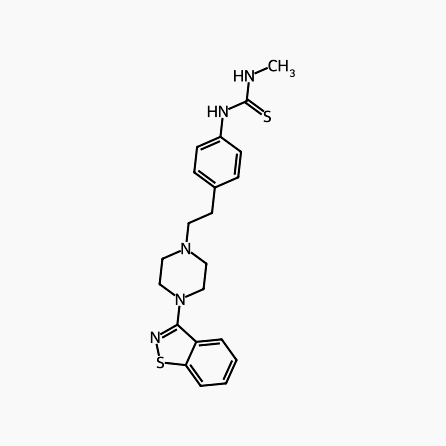 CNC(=S)Nc1ccc(CCN2CCN(c3nsc4ccccc34)CC2)cc1